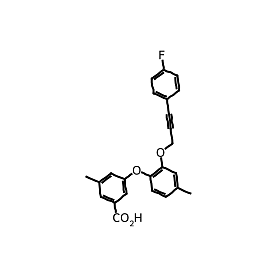 Cc1cc(Oc2ccc(C)cc2OCC#Cc2ccc(F)cc2)cc(C(=O)O)c1